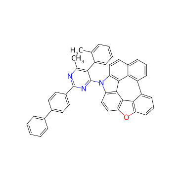 Cc1ccccc1-c1c(C)nc(-c2ccc(-c3ccccc3)cc2)nc1-n1c2ccc3cccc4c3c2c2c3c(ccc21)oc1cccc-4c13